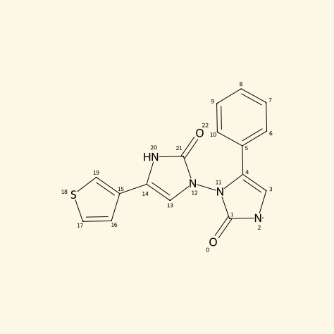 O=C1[N]C=C(c2ccccc2)N1n1cc(-c2ccsc2)[nH]c1=O